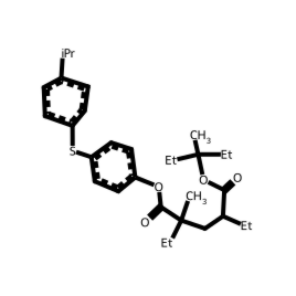 CCC(CC(C)(CC)C(=O)Oc1ccc(Sc2ccc(C(C)C)cc2)cc1)C(=O)OC(C)(CC)CC